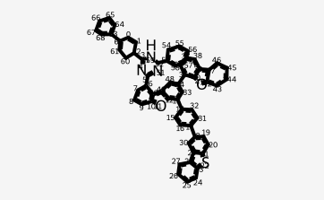 C1=CC(C2=NC(c3cccc4oc5c(-c6ccc(-c7ccc8sc9ccccc9c8c7)cc6)cc(-c6cccc7c6oc6ccccc67)cc5c34)=NC(c3ccccc3)N2)CC=C1c1ccccc1